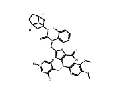 COc1ccc([C@H](Cc2c(Cl)c[n+]([O-])cc2Cl)c2cc(CN(C(=O)OC3C[C@H]4CC[C@@H](C3)N4C)c3ccccc3F)sc2C(=O)O)cc1OC